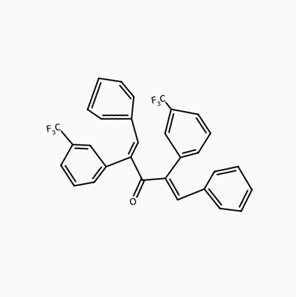 O=C(C(=Cc1ccccc1)c1cccc(C(F)(F)F)c1)C(=Cc1ccccc1)c1cccc(C(F)(F)F)c1